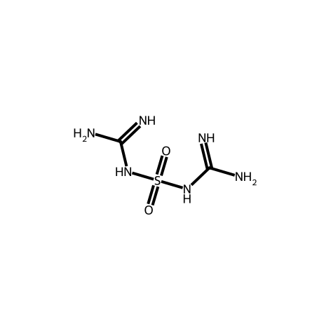 N=C(N)NS(=O)(=O)NC(=N)N